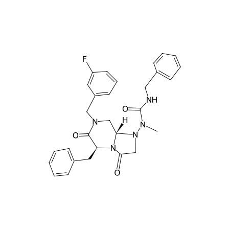 CN(C(=O)NCc1ccccc1)N1CC(=O)N2[C@@H](Cc3ccccc3)C(=O)N(Cc3cccc(F)c3)C[C@@H]21